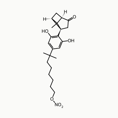 CC(C)(CCCCCCO[N+](=O)[O-])c1cc(O)c([C@@]23CC(=O)[C@@H]4C[C@H]2C43C)c(O)c1